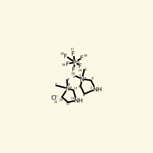 C[N+]1(C)CCNC1.C[N+]1(C)CCNC1.F[P-](F)(F)(F)(F)F.[Cl-]